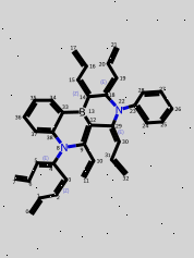 C=C/C=C\C(=C/C=C)N1C(C=C)=C2B(C(=C/C=C)/C(=C\C=C)N(c3ccccc3)/C2=C/C=C)c2ccccc21